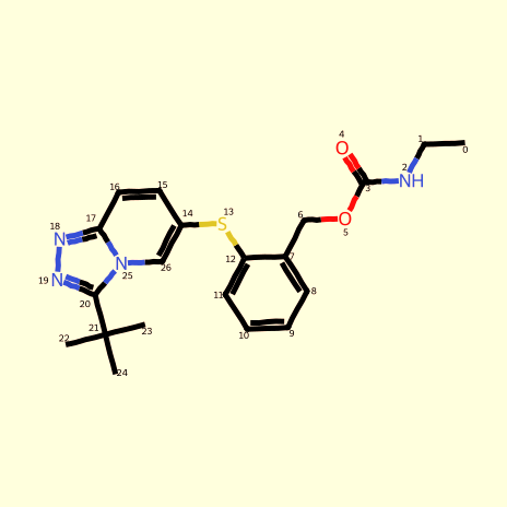 CCNC(=O)OCc1ccccc1Sc1ccc2nnc(C(C)(C)C)n2c1